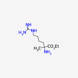 CCOC(=O)C(C)(N)CCCCNC(=N)N